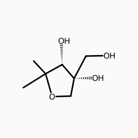 CC1(C)OC[C@](O)(CO)[C@H]1O